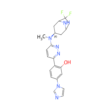 CN(c1ccc(-c2ccc(-n3ccnc3)cc2O)nn1)[C@@H]1CC2CC(F)(F)C(C1)N2